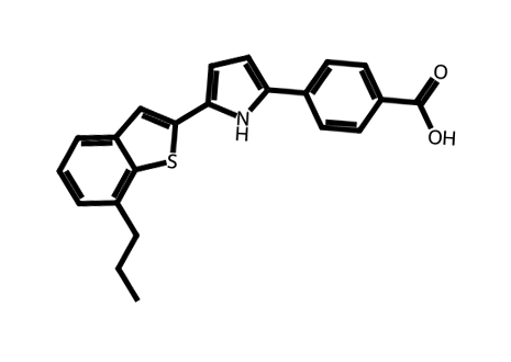 CCCc1cccc2cc(-c3ccc(-c4ccc(C(=O)O)cc4)[nH]3)sc12